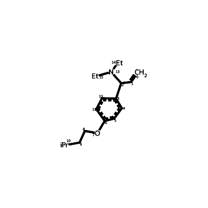 C=CC(c1ccc(OCCC(C)C)cc1)N(CC)CC